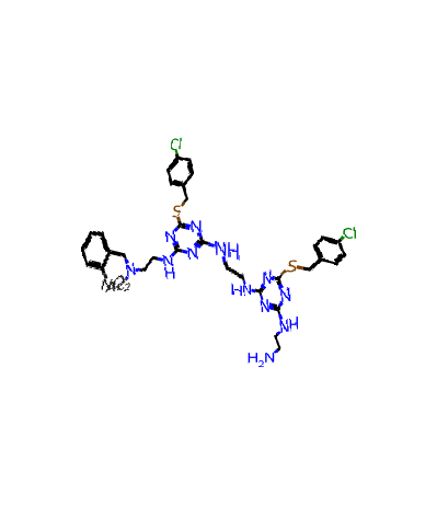 CC(=O)N(CCNc1nc(NCCNc2nc(NCCN)nc(SCc3ccc(Cl)cc3)n2)nc(SCc2ccc(Cl)cc2)n1)Cc1ccccc1[N+](=O)[O-]